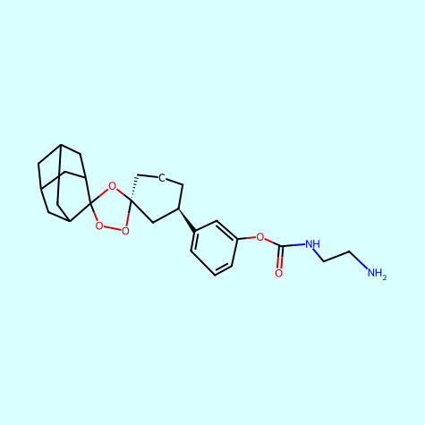 NCCNC(=O)Oc1cccc([C@@H]2CCC[C@]3(C2)OOC2(O3)C3CC4CC(C3)CC2C4)c1